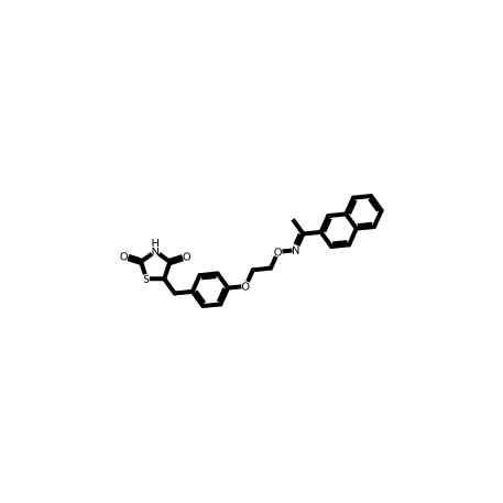 CC(=NOCCOc1ccc(CC2SC(=O)NC2=O)cc1)c1ccc2ccccc2c1